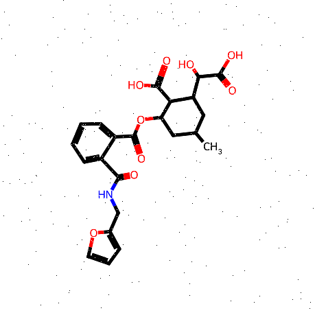 CC1CC(OC(=O)c2ccccc2C(=O)NCc2ccco2)C(C(=O)O)C(C(O)C(=O)O)C1